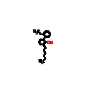 CCCCCCc1cccc(-c2ccccc2CC)c1O